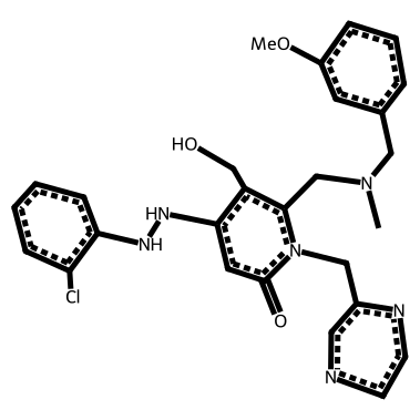 COc1cccc(CN(C)Cc2c(CO)c(NNc3ccccc3Cl)cc(=O)n2Cc2cnccn2)c1